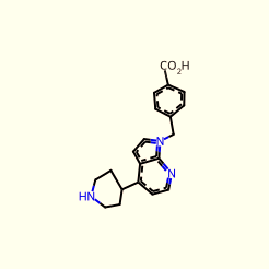 O=C(O)c1ccc(Cn2ccc3c(C4CCNCC4)ccnc32)cc1